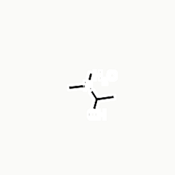 CC(O)N(C)C.O